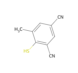 Cc1cc(C#N)cc(C#N)c1S